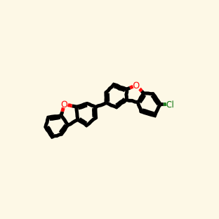 Clc1ccc2c(c1)oc1ccc(-c3ccc4c(c3)oc3ccccc34)cc12